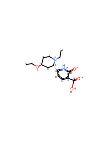 CCO[C@H]1CCN(CC)[C@H](c2ccc(C(=O)O)c(=O)[nH]2)C1